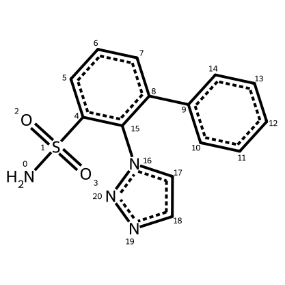 NS(=O)(=O)c1cccc(-c2ccccc2)c1-n1ccnn1